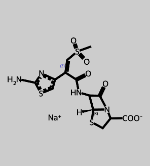 CS(=O)(=O)/C=C(\C(=O)NC1C(=O)N2C(C(=O)[O-])CS[C@H]12)c1csc(N)n1.[Na+]